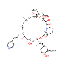 CO[C@H]1C[C@@H](C)[C@@]2(O)O[C@@H]1[C@@H](O)C[C@@H](C)C/C(C)=C/[C@@H](C/C=C/c1ccncc1)C(=O)C[C@H](O)[C@@H](C)[C@@H](/C(C)=C/[C@@H]1CC[C@@H](O)[C@H](OC)C1)OC(=O)[C@@H]1CCCCN1C(=O)C2=O